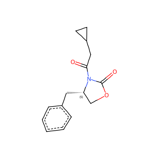 O=C(CC1CC1)N1C(=O)OC[C@@H]1Cc1ccccc1